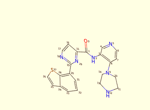 O=C(Nc1cnccc1N1CCNCC1)c1ccnc(-c2cccc3ccsc23)n1